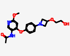 COc1cc(Oc2ccc(N3CC(OCCO)C3)cc2)c(NC(C)=O)cn1